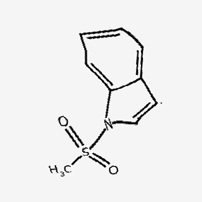 CS(=O)(=O)n1c[c]c2ccccc21